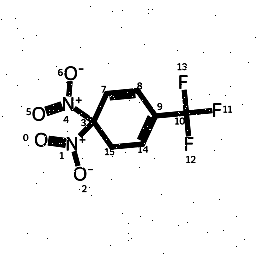 O=[N+]([O-])C1([N+](=O)[O-])C=CC(C(F)(F)F)=CC1